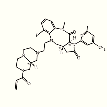 C=CC(=O)N1CCN2CCN(CCN3C[C@H]4CC(=O)N(c5cc(C(F)(F)F)cc(C)n5)[C@@H]4C(=O)N(C)c4cccc(F)c43)C[C@@H]2C1